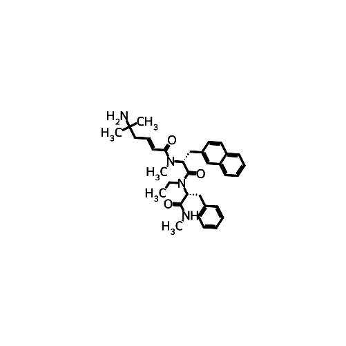 CCN(C(=O)[C@@H](Cc1ccc2ccccc2c1)N(C)C(=O)C=CCC(C)(C)N)[C@H](Cc1ccccc1)C(=O)NC